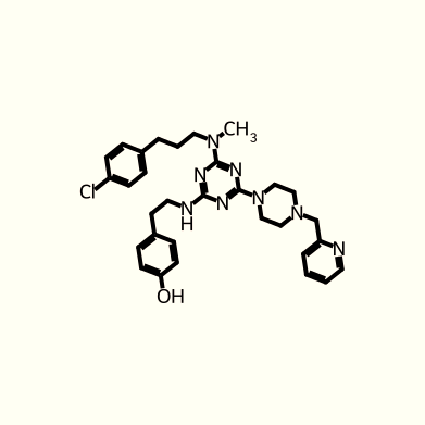 CN(CCCc1ccc(Cl)cc1)c1nc(NCCc2ccc(O)cc2)nc(N2CCN(Cc3ccccn3)CC2)n1